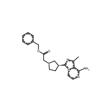 Nc1nccn2c([C@H]3CCN(CC(=O)OCc4ccccc4)C3)nc(I)c12